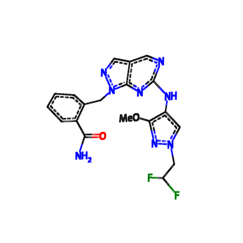 COc1nn(CC(F)F)cc1Nc1ncc2cnn(Cc3ccccc3C(N)=O)c2n1